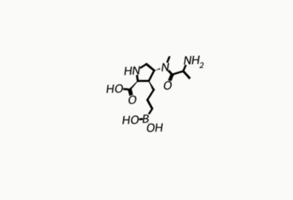 CC(N)C(=O)N(C)[C@H]1CN[C@H](C(=O)O)[C@@H]1CCCB(O)O